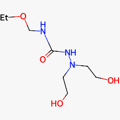 CCOCNC(=O)NN(CCO)CCO